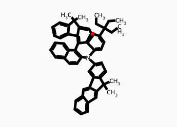 CCC(CC)(CC)c1ccc(N(c2ccc3c(c2)-c2cc4ccccc4cc2C3(C)C)c2ccc3ccccc3c2-c2cccc3c2-c2ccccc2C3(C)C)cc1